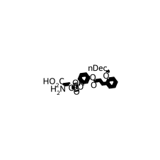 CCCCCCCCCCCOc1ccccc1CCC(=O)Oc1cccc(OP(=O)(O)OC[C@H](N)C(=O)O)c1